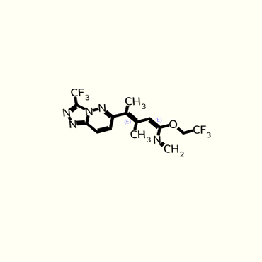 C=N/C(=C\C(C)=C(/C)c1ccc2nnc(C(F)(F)F)n2n1)OCC(F)(F)F